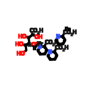 C[CH](C)[Ti].O=C(O)[C@H](O)[C@@H](O)[C@H](O)[C@H](O)CO.O=C(O)c1ccccn1.O=C(O)c1ccccn1.O=C(O)c1ccccn1.[Fe]